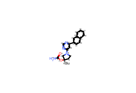 CC(C)(C)[C@]1(OC(N)=O)CCN(c2cc(-c3ccc4ccccc4c3)ncn2)C1